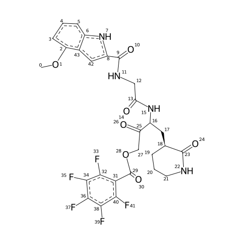 COc1cccc2[nH]c(C(=O)NCC(=O)NC(C[C@@H]3CCCNC3=O)C(=O)COC(=O)c3c(F)c(F)c(F)c(F)c3F)cc12